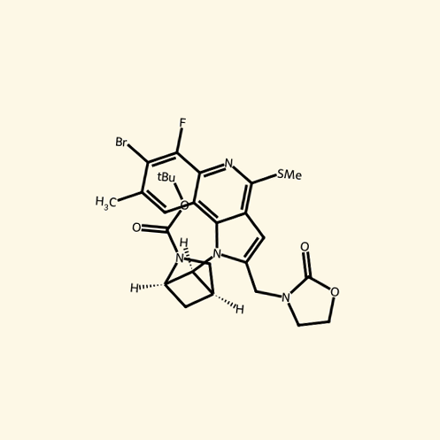 CSc1nc2c(F)c(Br)c(C)cc2c2c1cc(CN1CCOC1=O)n2[C@H]1[C@@H]2C[C@H]1N(C(=O)OC(C)(C)C)C2